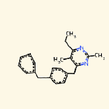 CCc1nc(C)nc(Cc2ccc(Cc3ccccc3)cc2)c1C